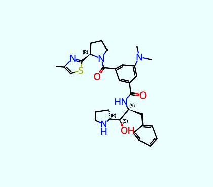 Cc1csc([C@H]2CCCN2C(=O)c2cc(C(=O)N[C@@H](Cc3ccccc3)[C@@H](O)[C@H]3CCCN3)cc(N(C)C)c2)n1